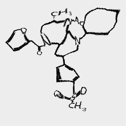 CC(=O)N1C2C(CC(c3ccc(S(C)(=O)=O)cc3)CN2C2CCCCCCCCC2)N(C(=O)c2ccco2)C[C@@H]1C